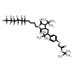 CC(C)(C)OC(=O)COc1ccc(C(CC2C(=O)N(CCCCC(F)(F)C(F)(F)C(F)(F)C(F)(F)C(F)(F)C(F)(F)F)C(=O)C2C(C)(C)C)C(C)(C)C)cc1